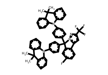 CC1(C)c2ccccc2N(c2ccc(C3(c4ccc(N5c6ccccc6C(C)(C)c6ccccc65)cc4)c4cc(F)ccc4-c4cc(C(F)(F)F)nn43)cc2)c2ccccc21